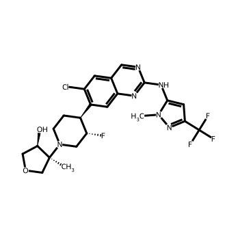 Cn1nc(C(F)(F)F)cc1Nc1ncc2cc(Cl)c([C@@H]3CCN([C@@]4(C)COC[C@H]4O)C[C@H]3F)cc2n1